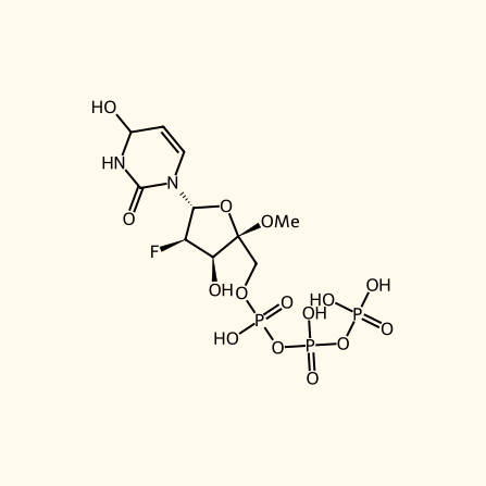 CO[C@]1(COP(=O)(O)OP(=O)(O)OP(=O)(O)O)O[C@@H](N2C=CC(O)NC2=O)[C@H](F)[C@@H]1O